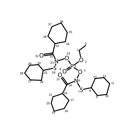 CCOP(=O)(ON(SC1CCCCC1)C(=O)C1CCCCC1)ON(SC1CCCCC1)C(=O)C1CCCCC1